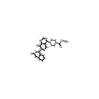 CC(C)(C)OC(=O)N1CCN(c2ncnc3c(F)c(-c4c[n+]([O-])cc5ccccc45)ncc23)CC1